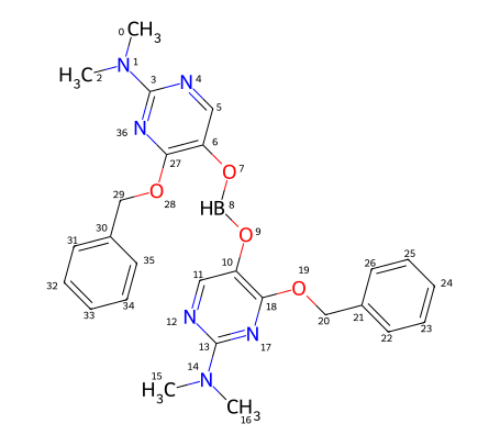 CN(C)c1ncc(OBOc2cnc(N(C)C)nc2OCc2ccccc2)c(OCc2ccccc2)n1